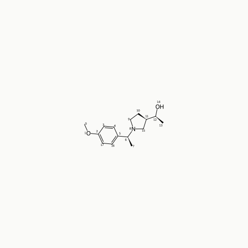 COc1ccc([C@H](C)N2CC[C@@H]([C@H](C)O)C2)cc1